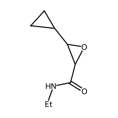 CCNC(=O)C1OC1C1CC1